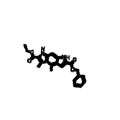 CCOC(=O)c1[nH]c2cc3[nH]c(C(=O)OCc4ccccc4)cc3c(C)c2c1C